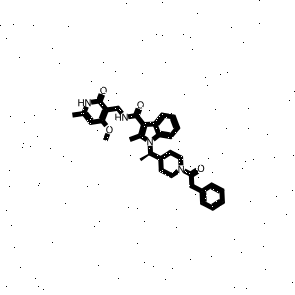 COc1cc(C)[nH]c(=O)c1CNC(=O)c1c(C)n([C@H](C)C2CCN(C(=O)Cc3ccccc3)CC2)c2ccccc12